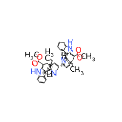 CC[C@]12C=C([C@H]3C=C[C@@]4(CC)CC(C(=O)OC)=C5Nc6ccccc6[C@@]56CCN3[C@@H]46)CN3CC[C@]4(C(=C(C(=O)OC)C1)Nc1ccccc14)[C@@H]32